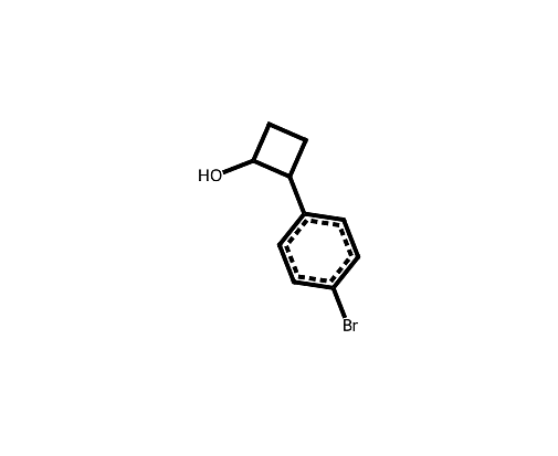 OC1CCC1c1ccc(Br)cc1